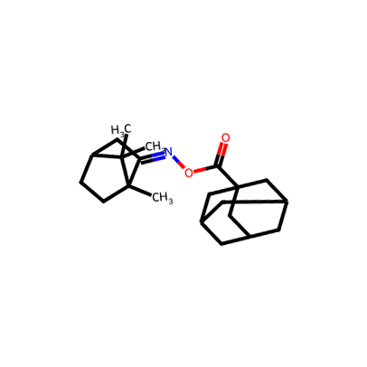 CC12CCC(C/C1=N/OC(=O)C13CC4CC(CC(C4)C1)C3)C2(C)C